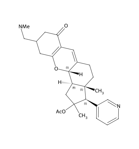 CNCC1CC(=O)C2=C(C1)O[C@@H]1C(=C2)CC[C@@]2(C)[C@H]1CC(C)(OC(C)=O)[C@@H]2c1cccnc1